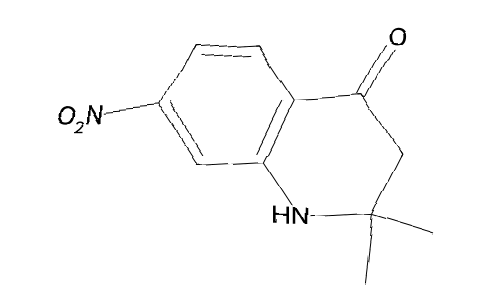 CC1(C)CC(=O)c2ccc([N+](=O)[O-])cc2N1